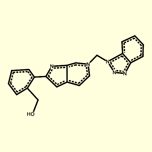 OCc1ccccc1-c1cc2ccn(Cn3nnc4ccccc43)cc-2n1